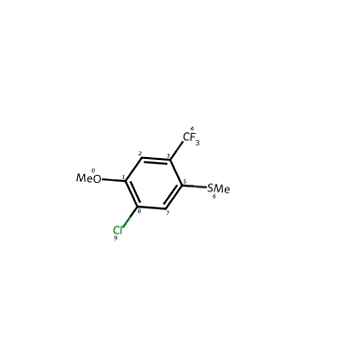 COc1cc(C(F)(F)F)c(SC)cc1Cl